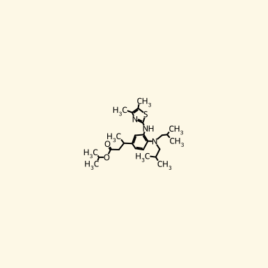 Cc1nc(Nc2cc(C(C)CC(=O)OC(C)C)ccc2N(CC(C)C)CC(C)C)sc1C